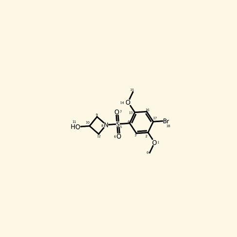 COc1cc(S(=O)(=O)N2CC(O)C2)c(OC)cc1Br